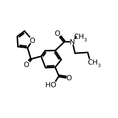 CCCN(C)C(=O)c1cc(C(=O)O)cc(C(=O)c2ccco2)c1